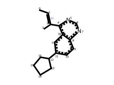 C/C=C(\C)c1ncnc2ccc(C3CCCC3)cc12